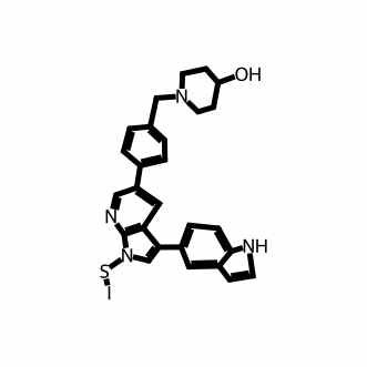 OC1CCN(Cc2ccc(-c3cnc4c(c3)c(-c3ccc5[nH]ccc5c3)cn4SI)cc2)CC1